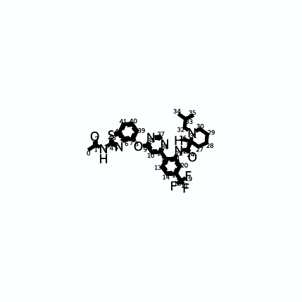 CC(=O)Nc1nc2c(Oc3cc(-c4ccc(C(F)(F)F)cc4NC(=O)C4(C)CCCCN4CC(C)C)ncn3)cccc2s1